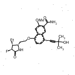 CC[C@@H]1[C@H](F)C(=O)N[C@@H]1CCOc1ccc(C#CC(C)(C)O)c2cc(C(N)=O)c(OC)cc12